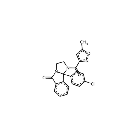 Cc1cc(C(=O)N2CCN3C(=O)c4ccccc4C23c2ccc(Cl)cc2)no1